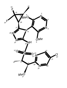 COc1ncnc(OC)c1-n1c(NS(=O)(=O)[C@@H](C)[C@H](OC)c2ncc(Cl)cn2)nnc1[C@@H]1[C@H](C)C1(F)F